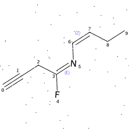 C#CC/C(F)=N\C=C/CC